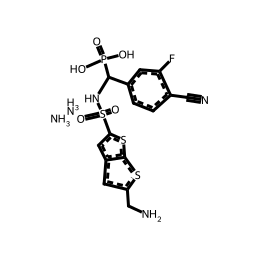 N.N.N#Cc1ccc(C(NS(=O)(=O)c2cc3cc(CN)sc3s2)P(=O)(O)O)cc1F